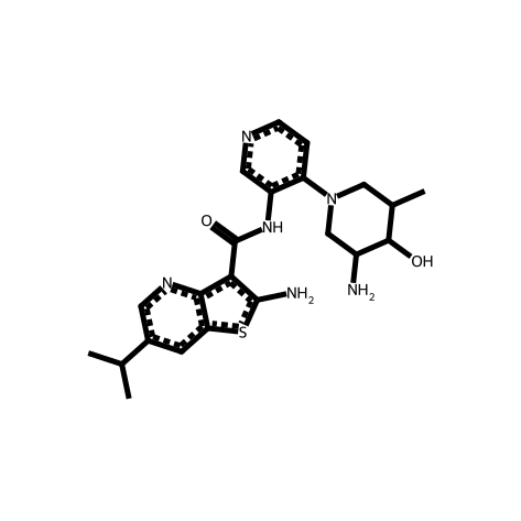 CC(C)c1cnc2c(C(=O)Nc3cnccc3N3CC(C)C(O)C(N)C3)c(N)sc2c1